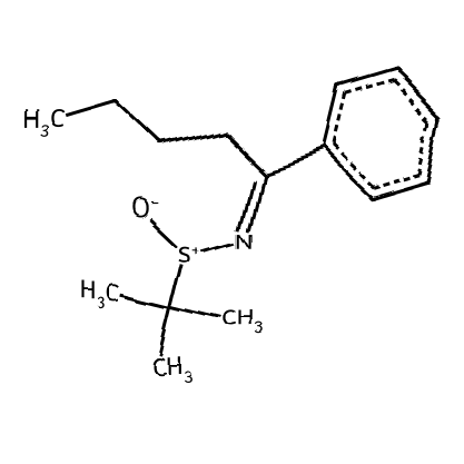 CCCCC(=N[S+]([O-])C(C)(C)C)c1ccccc1